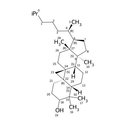 CC(C)CCC[C@@H](C)[C@H]1CC[C@@]2(C)[C@@H]3CC[C@@H]4C(C)(C)C(O)CC[C@@]45C[C@@]35CC[C@]12C